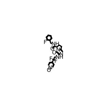 O=C(NCc1ccccc1F)C1CCc2cnc(NCC(F)(F)c3cc[n+]([O-])cc3)c(=O)n21